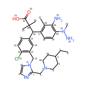 CCC1CCN(Cc2nccn2Cc2cc(C(c3ccc(N(C)N)c(N)c3C)C(C)(C)C(=O)O)ccc2Cl)CC1